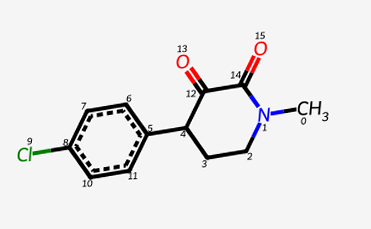 CN1CCC(c2ccc(Cl)cc2)C(=O)C1=O